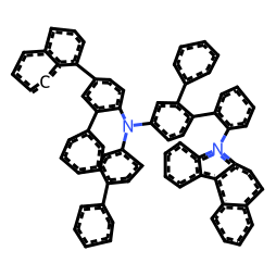 c1ccc(-c2ccc(N(c3ccc(-c4ccccc4-n4c5ccccc5c5c6ccccc6ccc54)c(-c4ccccc4)c3)c3ccc(-c4cccc5ccccc45)cc3-c3ccccc3)cc2)cc1